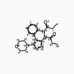 CCC(=O)N1c2ccccc2-n2c(N3CCOCC3)nnc2N1C(=O)CC